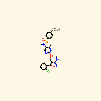 Cc1nc(OCc2c(N(C)C)noc2-c2c(Cl)cccc2Cl)ncc1N(C)S(=O)(=O)c1ccc(C(=O)O)cc1